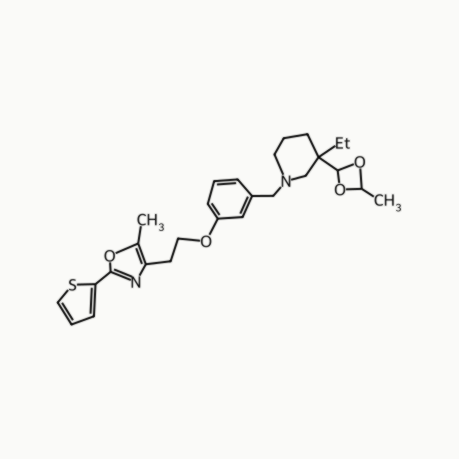 CCC1(C2OC(C)O2)CCCN(Cc2cccc(OCCc3nc(-c4cccs4)oc3C)c2)C1